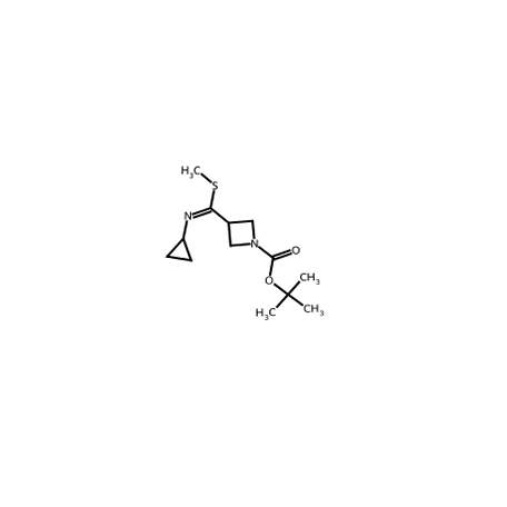 CS/C(=N/C1CC1)C1CN(C(=O)OC(C)(C)C)C1